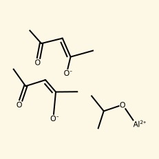 CC(=O)/C=C(/C)[O-].CC(=O)/C=C(/C)[O-].CC(C)[O][Al+2]